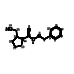 O=C(OOCc1ccccc1)N1CCCC1CO